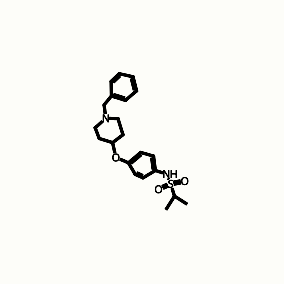 CC(C)S(=O)(=O)Nc1ccc(OC2CCN(Cc3ccccc3)CC2)cc1